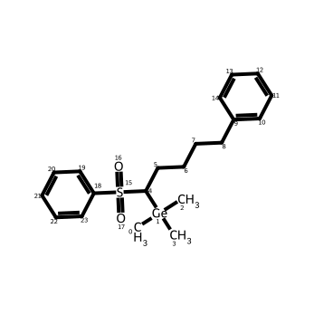 [CH3][Ge]([CH3])([CH3])[CH](CCCCc1ccccc1)S(=O)(=O)c1ccccc1